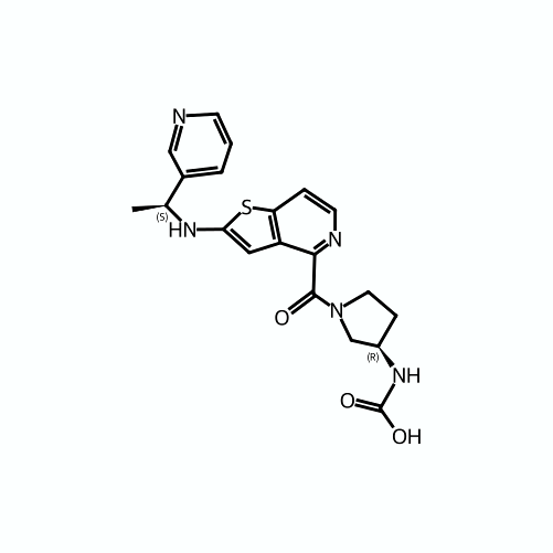 C[C@H](Nc1cc2c(C(=O)N3CC[C@@H](NC(=O)O)C3)nccc2s1)c1cccnc1